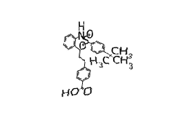 CC(C)(C)c1ccc(S(=O)(=O)Nc2ccccc2CCCc2ccc(C(=O)O)cc2)cc1